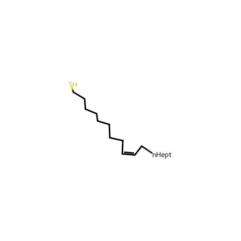 CCCCCCCC/C=C\CCCCCCCCS